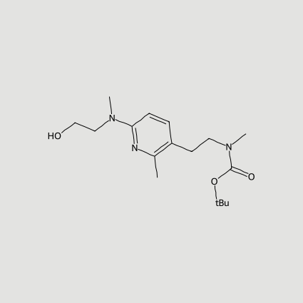 Cc1nc(N(C)CCO)ccc1CCN(C)C(=O)OC(C)(C)C